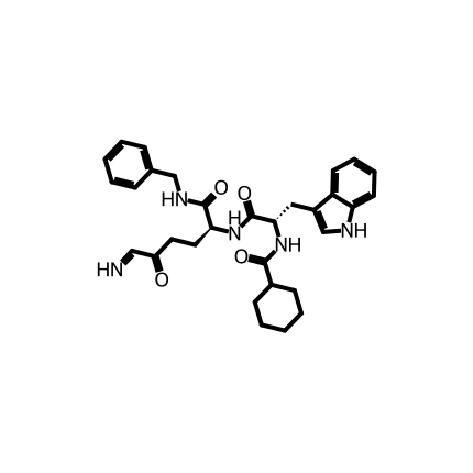 N=CC(=O)CC[C@H](NC(=O)[C@H](Cc1c[nH]c2ccccc12)NC(=O)C1CCCCC1)C(=O)NCc1ccccc1